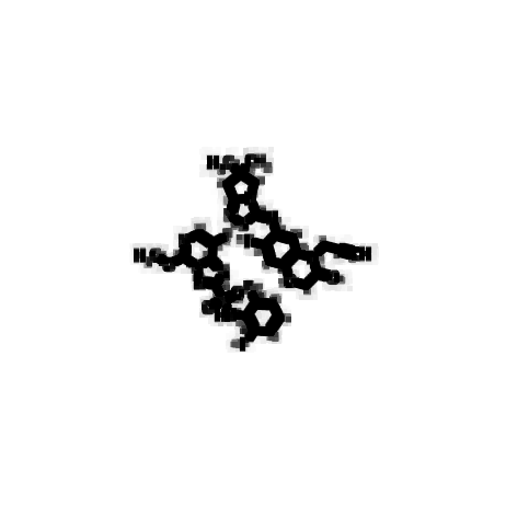 C#CCN1C(=O)COc2cc(F)c(/N=c3\snc4n3CC(C)(C)C4)cc21.COc1ncc(F)c2nc(S(=O)(=O)Nc3c(F)cccc3F)nn12